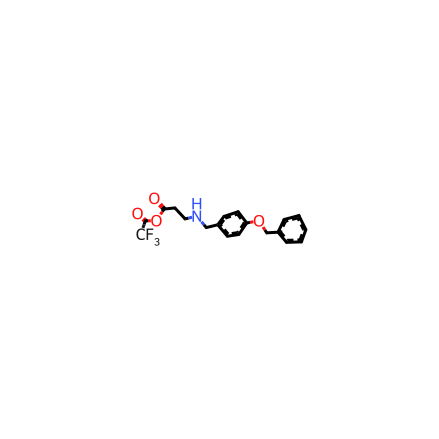 O=C(CCNCc1ccc(OCc2ccccc2)cc1)OC(=O)C(F)(F)F